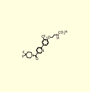 O=C(O)NCCOc1ccc(-c2ccc(C(=O)N3CCC(F)(F)CC3)cn2)cc1C(F)(F)F